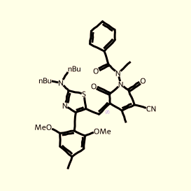 CCCCN(CCCC)c1nc(-c2c(OC)cc(C)cc2OC)c(/C=C2\C(=O)N(N(C)C(=O)c3ccccc3)C(=O)C(C#N)=C2C)s1